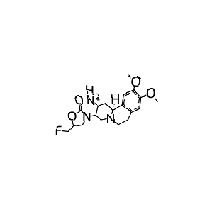 COc1cc2c(cc1OC)[C@@H]1C[C@H](N)C(N3CC(CF)OC3=O)CN1CC2